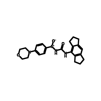 O=C(Nc1c2c(cc3c1CCC3)CCC2)N[S+]([O-])c1ccc(N2CCOCC2)cc1